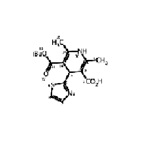 CC1=C(C(=O)O)C(c2nccs2)C(C(=O)OCC(C)C)=C(C)N1